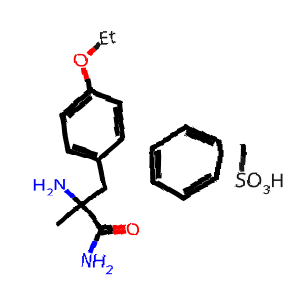 CCOc1ccc(CC(C)(N)C(N)=O)cc1.CS(=O)(=O)O.c1ccccc1